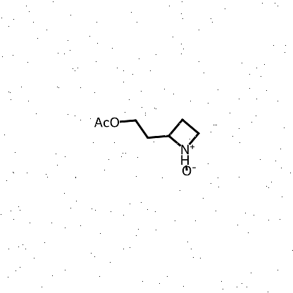 CC(=O)OCCC1CC[NH+]1[O-]